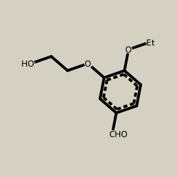 CCOc1ccc(C=O)cc1OCCO